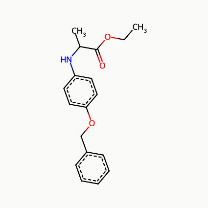 CCOC(=O)C(C)Nc1ccc(OCc2ccccc2)cc1